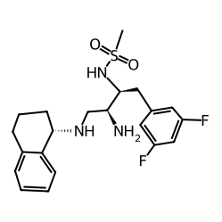 CS(=O)(=O)N[C@@H](Cc1cc(F)cc(F)c1)[C@@H](N)CN[C@H]1CCCc2ccccc21